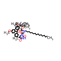 CCCCCCCCCCCCCCCCN1C[C@H](n2cc(C)c(=O)[nH]c2=O)O[C@@](COC(c2ccccc2)(c2ccc(OC)cc2)c2ccc(OC)cc2)(CO[Si](C(C)C)(C(C)C)C(C)C)C1